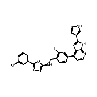 Fc1cc(-c2ccnc3[nH]c(-c4cn[nH]c4)nc23)ccc1CNc1nnc(-c2cccc(Cl)c2)o1